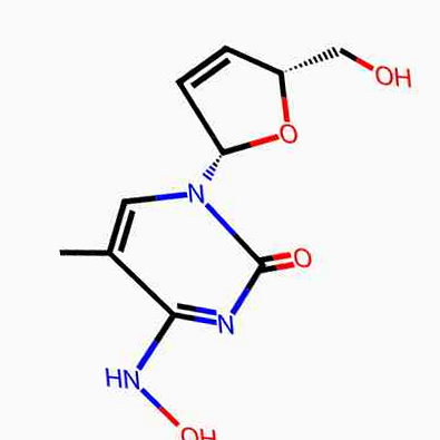 Cc1cn([C@@H]2C=C[C@H](CO)O2)c(=O)nc1NO